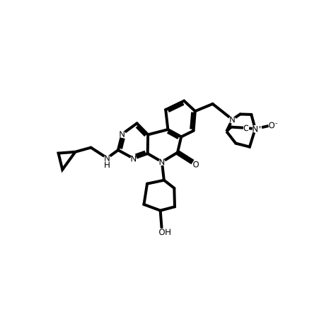 O=c1c2cc(CN3CC[N+]4([O-])CCC3CC4)ccc2c2cnc(NCC3CC3)nc2n1C1CCC(O)CC1